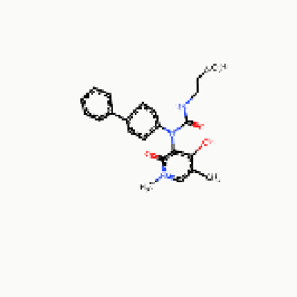 Cc1cn(C)c(=O)c(N(C(=O)NCCC(=O)O)c2ccc(-c3ccccc3)cc2)c1O